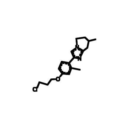 Cc1cc(OCCCCl)ccc1-c1cn2c(n1)CC(C)CC2